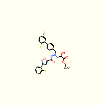 CC(=O)OCOC(=O)C(O)CN(Cc1ccc(-c2cc(Cl)ccc2F)cc1)NC(=O)c1cc(-c2ccccc2F)no1